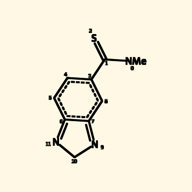 CNC(=S)c1ccc2c(c1)=NCN=2